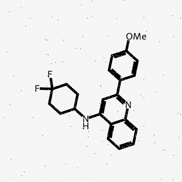 COc1ccc(-c2cc(NC3CCC(F)(F)CC3)c3ccccc3n2)cc1